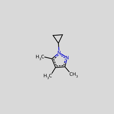 Cc1nn(C2CC2)c(C)c1C